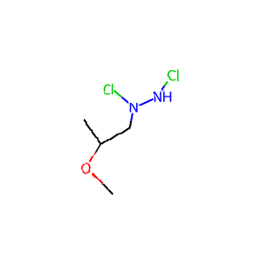 COC(C)CN(Cl)NCl